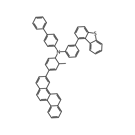 CC1C=C(c2ccc3ccc4c5ccccc5ccc4c3c2)C=CC1N(c1ccc(-c2ccccc2)cc1)c1cccc(-c2cccc3sc4ccccc4c23)c1